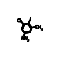 Cc1cc(N)cc(Cl)c1I